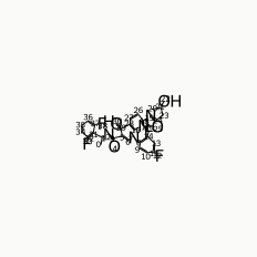 CC(NC(=O)c1cn(-c2ccc(F)cc2F)c2nc(N3C[C@@H](O)CC3=O)ccc2c1=O)c1c(F)cccc1F